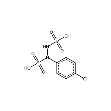 O=S(=O)(O)NN(c1ccc(Cl)cc1)S(=O)(=O)O